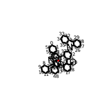 c1ccc(-c2nc(-c3ccccc3)nc(-c3cccc4oc5cc(-n6c7ccccc7c7ccccc76)cc(-c6cccc7c6oc6ccccc67)c5c34)n2)cc1